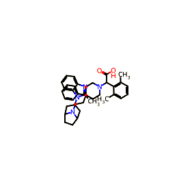 Cc1cccc(C)c1C(C(=O)O)N1CCC(CCN2C3CCC2CC(n2c(C)nc4ccccc42)C3)(c2ccccc2)CC1